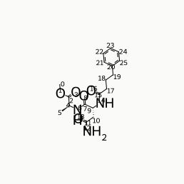 COC(=O)[C@H](C)NC(=O)[C@@H](CC(N)=O)NC(=O)CCCc1ccccc1